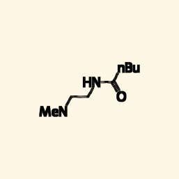 CCCCC(=O)NCCNC